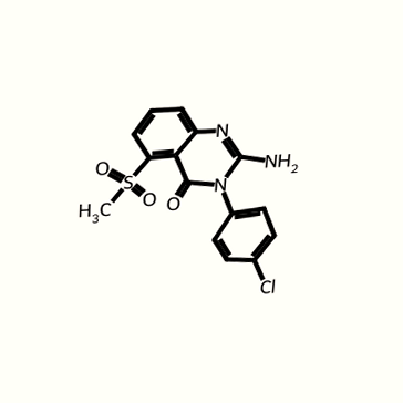 CS(=O)(=O)c1cccc2nc(N)n(-c3ccc(Cl)cc3)c(=O)c12